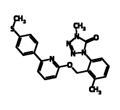 CSc1ccc(-c2cccc(OCc3c(C)cccc3-n3nnn(C)c3=O)n2)cc1